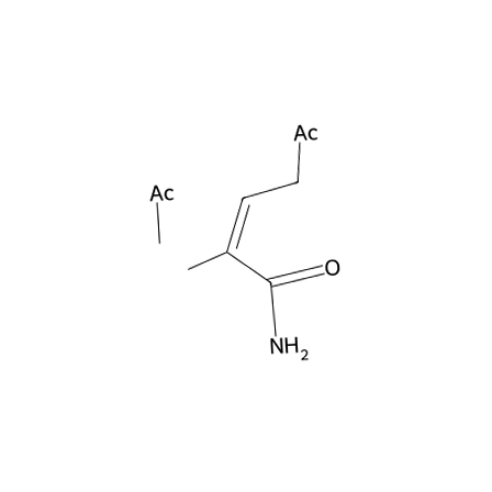 CC(=O)CC=C(C)C(N)=O.CC(C)=O